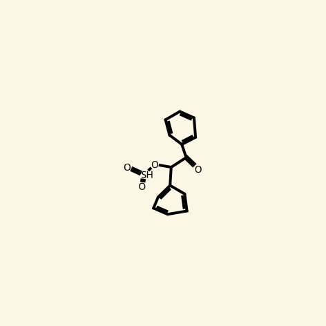 O=C(c1ccccc1)C(O[SH](=O)=O)c1ccccc1